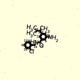 CC(C)C(C)c1cc(N)cc(C(=O)NCc2ccccc2Cl)c1